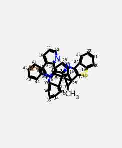 CC1C2C(c3ccc(Br)c4cccnc34)=Nc3c(sc4ccccc34)C12c1cccc2c1c1ccccc1n2-c1ccccc1